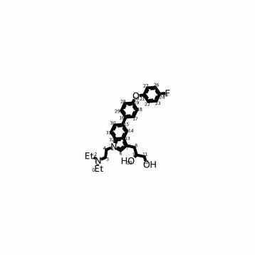 CCN(CC)CCn1cc(CC(O)CO)c2cc(-c3ccc(Oc4ccc(F)cc4)cc3)ccc21